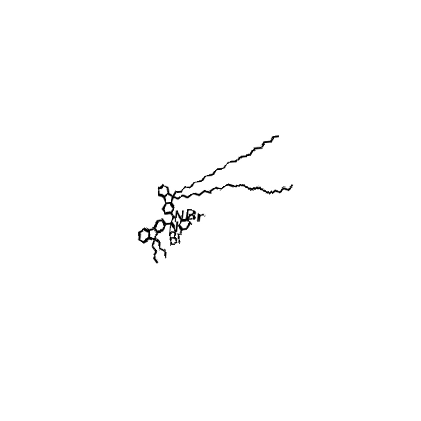 CCCCCCCCCCCCCCCCCCCCC1(CCCCCCCCCCCCCCCCCCCC)c2ccccc2-c2ccc(-c3nc4c(Br)ccc(Br)c4nc3-c3ccc4c(c3)C(CCCC)(CCCC)c3ccccc3-4)cc21